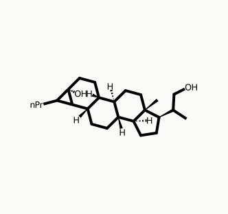 CCCC1C2[C@H]3CC[C@@H]4[C@H](CC[C@]5(C)[C@@H](C(C)CO)CC[C@@H]45)[C@H]3CC[C@]12O